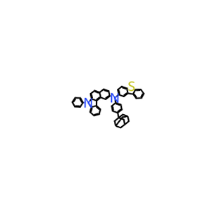 c1ccc(-n2c3ccccc3c3c4cc(N(c5ccc(C67CC8CC(CC(C8)C6)C7)cc5)c5ccc6sc7ccccc7c6c5)ccc4ccc32)cc1